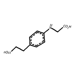 CCCCCCCCCCc1ccc(NCC(=O)O)cc1